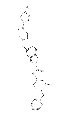 O=C(NC1CCN(Cc2ccncc2)C(I)C1)c1cc2ccc(OC3CCN(c4ccc(C(F)(F)F)cc4)CC3)cc2o1